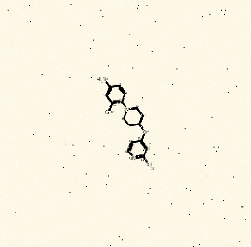 Nc1ccc(N2CCC(Oc3ccnc(Cl)c3)CC2)c(Cl)c1